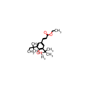 CCOC(=O)C=Cc1cc(C(C)(C)C)c(O)c(C(C)(C)CC)c1